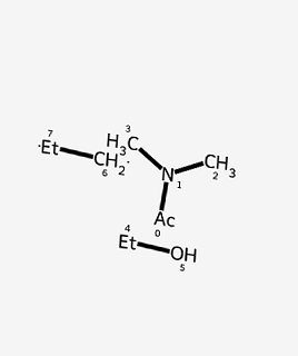 CC(=O)N(C)C.CCO.[CH2][CH]C